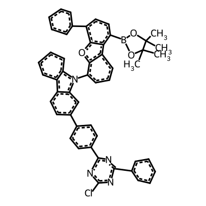 CC1(C)OB(c2ccc(-c3ccccc3)c3oc4c(-n5c6ccccc6c6ccc(-c7ccc(-c8nc(Cl)nc(-c9ccccc9)n8)cc7)cc65)cccc4c23)OC1(C)C